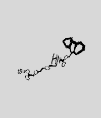 CC(C)(C)OC(=O)COCCOCCNC(=O)OCC1c2ccccc2-c2ccccc21